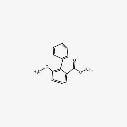 COC(=O)c1cccc(OC)c1-c1ccccc1